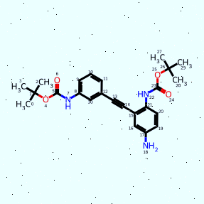 CC(C)(C)OC(=O)Nc1cccc(C#Cc2cc(N)ccc2NC(=O)OC(C)(C)C)c1